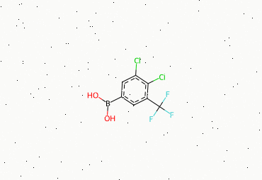 OB(O)c1cc(Cl)c(Cl)c(C(F)(F)F)c1